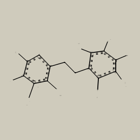 Brc1cc(CCc2c(Br)c(Br)c(Br)c(Br)c2Br)c(Br)c(Br)c1Br